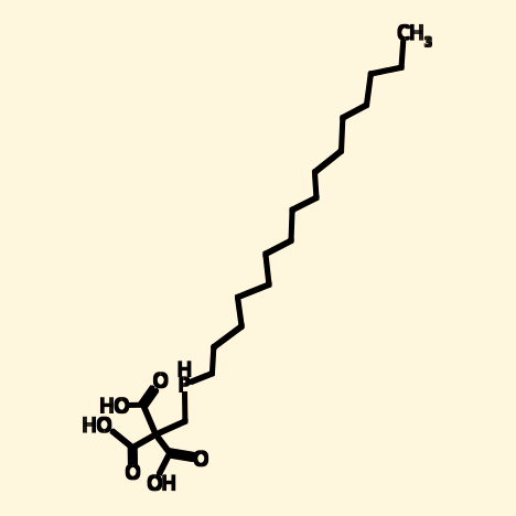 CCCCCCCCCCCCCCCCPCC(C(=O)O)(C(=O)O)C(=O)O